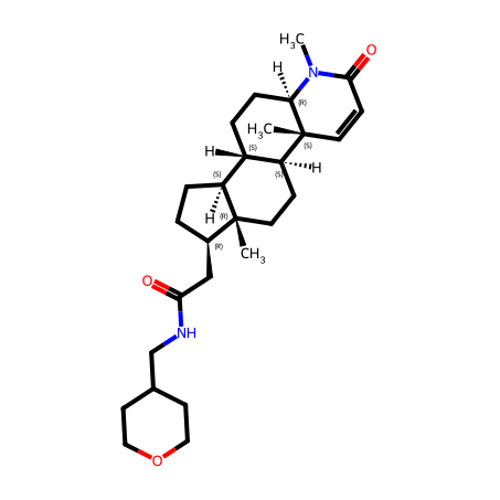 CN1C(=O)C=C[C@]2(C)[C@H]3CC[C@]4(C)[C@@H](CC(=O)NCC5CCOCC5)CC[C@H]4[C@@H]3CC[C@@H]12